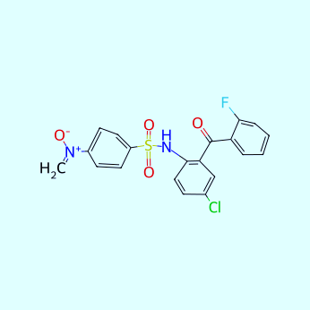 C=[N+]([O-])c1ccc(S(=O)(=O)Nc2ccc(Cl)cc2C(=O)c2ccccc2F)cc1